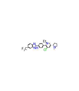 CCN1CC([C@@H]2CCCN2C)=CC(Cl)=C1c1ccc(-c2nc3ccc(C(F)(F)F)cc3[nH]2)cc1